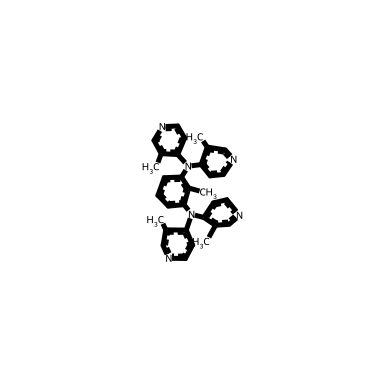 Cc1cnccc1N(c1ccncc1C)c1cccc(N(c2ccncc2C)c2ccncc2C)c1C